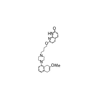 COC1=CCc2cccc(N3CCN(CCCCOc4ccc5ccc(=O)[nH]c5n4)CC3)c2C1